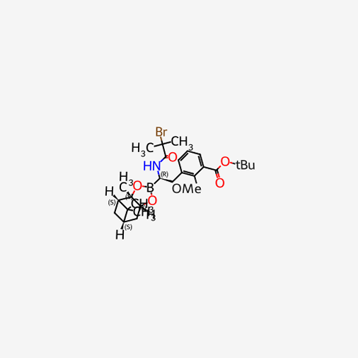 COc1c(C[C@H](NC(=O)C(C)(C)Br)B2O[C@@H]3C[C@@H]4C[C@@H](C4(C)C)[C@]3(C)O2)cccc1C(=O)OC(C)(C)C